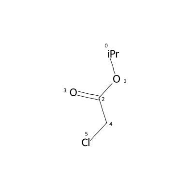 CC(C)OC(=O)CCl